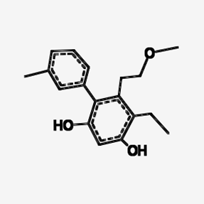 CCc1c(O)cc(O)c(-c2cccc(C)c2)c1CCOC